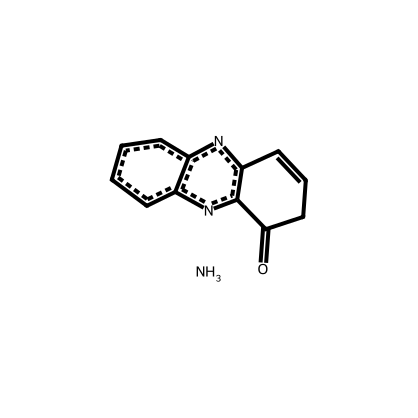 N.O=C1CC=Cc2nc3ccccc3nc21